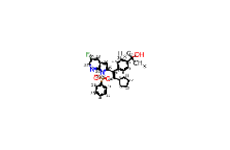 CC(C)(O)c1ccc(C(=CC2CCCC2)c2cc3cc(F)cnc3n2S(=O)(=O)c2ccccc2)cc1